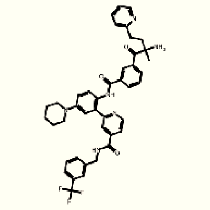 CC(N)(CCc1ccccn1)C(=O)c1cccc(C(=O)Nc2ccc(N3CCCCC3)cc2-c2cc(C(=O)NCc3cccc(C(F)(F)F)c3)ccn2)c1